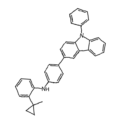 CC1(c2ccccc2Nc2ccc(-c3ccc4c(c3)c3ccccc3n4-c3ccccc3)cc2)CC1